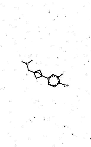 CN(C)CC12CC(c3ccc(O)c(F)c3)(C1)C2